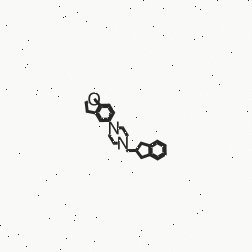 c1ccc2c(c1)CC(CN1CCN(c3ccc4c(c3)CCO4)CC1)C2